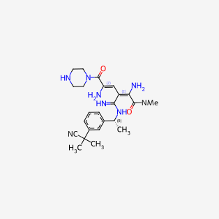 CNC(=O)/C(N)=C(/C=C(\N)C(=O)N1CCNCC1)C(=N)N[C@H](C)c1cccc(C(C)(C)C#N)c1